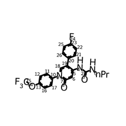 CCCNC(=O)Nc1cc(=O)n(-c2ccc(OC(F)(F)F)cc2)cc1-c1ccc(F)cc1